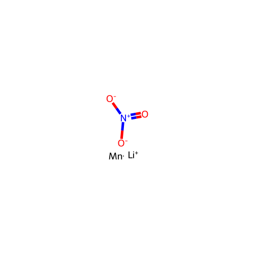 O=[N+]([O-])[O-].[Li+].[Mn]